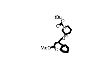 COC(=O)CC(CO[C@@H]1CCCN(C(=O)OC(C)(C)C)C1)c1ccccc1